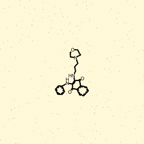 O=C1C(NCCCN2CCOCC2)=C(Nc2ccccc2)C(=O)c2ccccc21